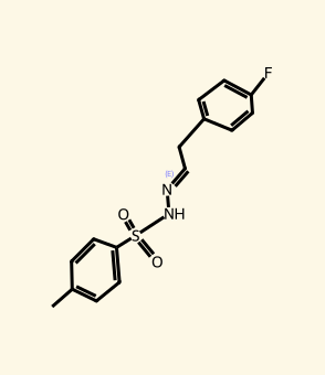 Cc1ccc(S(=O)(=O)N/N=C/Cc2ccc(F)cc2)cc1